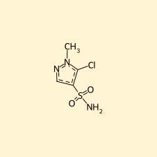 Cn1ncc(S(N)(=O)=O)c1Cl